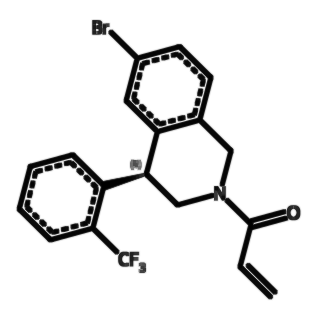 C=CC(=O)N1Cc2ccc(Br)cc2[C@H](c2ccccc2C(F)(F)F)C1